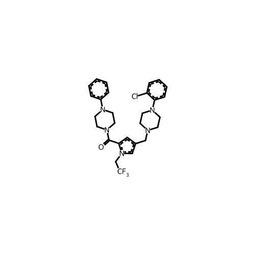 O=C(c1cc(CN2CCN(c3ccccc3Cl)CC2)cn1CC(F)(F)F)N1CCN(c2ccccc2)CC1